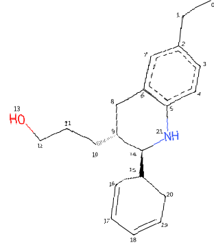 CCc1ccc2c(c1)C[C@@H](CCCO)[C@H](C1C=CC=CC1)N2